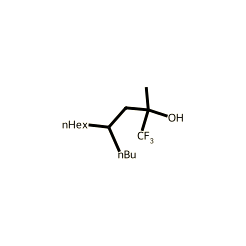 CCCCCCC(CCCC)CC(C)(O)C(F)(F)F